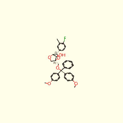 COc1ccc(C(OC[C@]23COC(C2O)[C@H](c2ccc(F)c(C)c2)O3)(c2ccccc2)c2ccc(OC)cc2)cc1